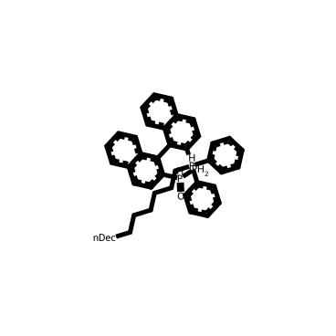 CCCCCCCCCCCCCCCC[PH](c1ccccc1)(c1ccccc1)c1ccc2ccccc2c1-c1c([PH](=O)P)ccc2ccccc12